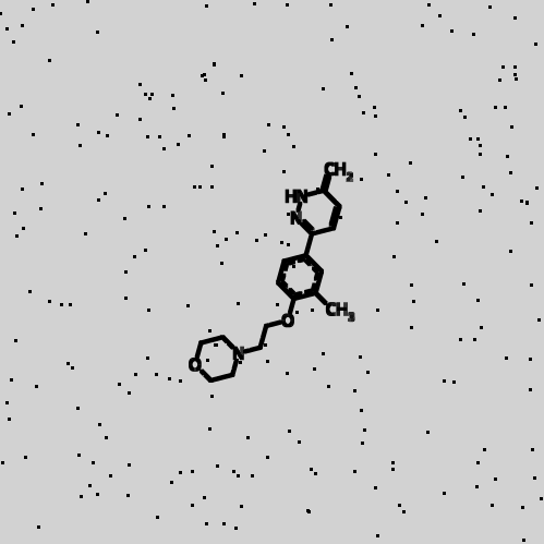 C=C1C=CC(c2ccc(OCCN3CCOCC3)c(C)c2)=NN1